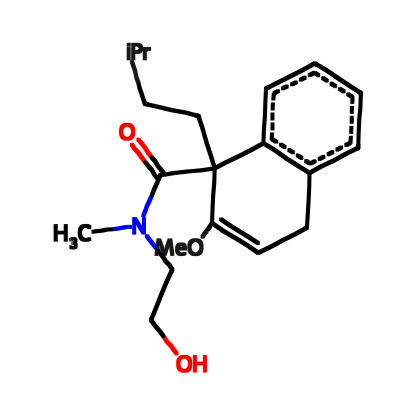 COC1=CCc2ccccc2C1(CCC(C)C)C(=O)N(C)CCO